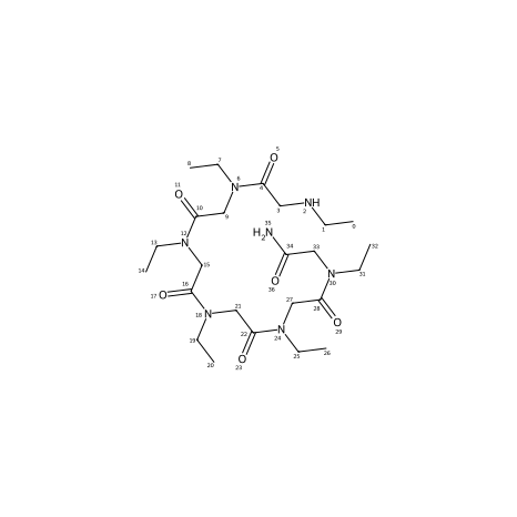 CCNCC(=O)N(CC)CC(=O)N(CC)CC(=O)N(CC)CC(=O)N(CC)CC(=O)N(CC)CC(N)=O